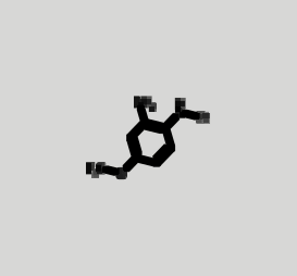 CCNc1ccc(OC(F)(F)F)cc1N